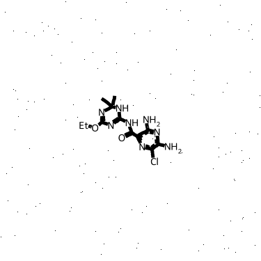 CCOC1=NC(C)(C)NC(NC(=O)c2nc(Cl)c(N)nc2N)=N1